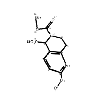 CCOC(=O)C1c2ccc(OCC)nc2CCN1C(=O)OC(C)(C)C